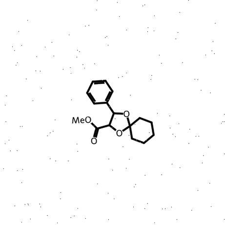 COC(=O)C1OC2(CCCCC2)OC1c1ccccc1